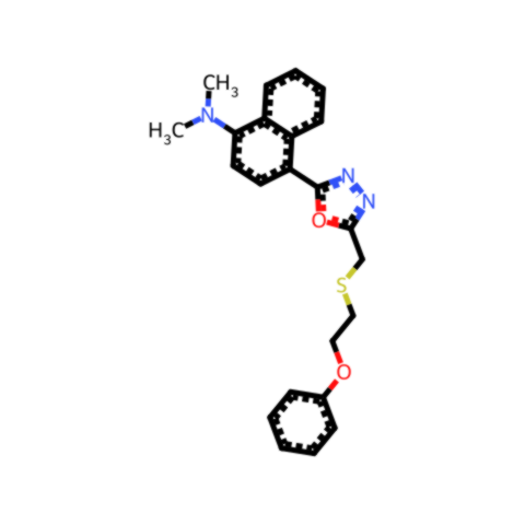 CN(C)c1ccc(-c2nnc(CSCCOc3ccccc3)o2)c2ccccc12